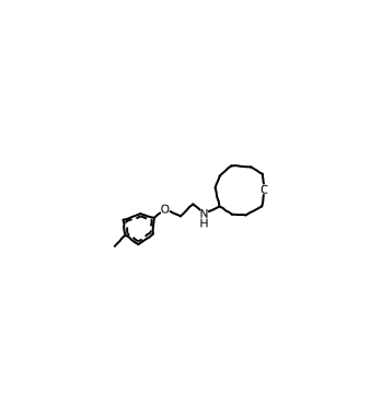 Cc1ccc(OCCNC2CCCCCCCCC2)cc1